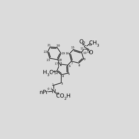 CCCN(CCc1cc(-c2ccc(S(C)(=O)=O)cc2)n(-c2ccccc2)c1C)C(=O)O